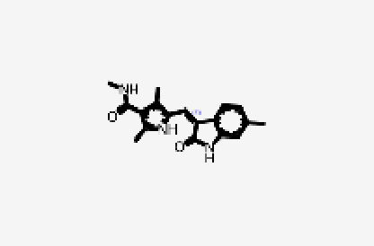 CNC(=O)c1c(C)[nH]c(/C=C2\C(=O)Nc3cc(C)ccc32)c1C